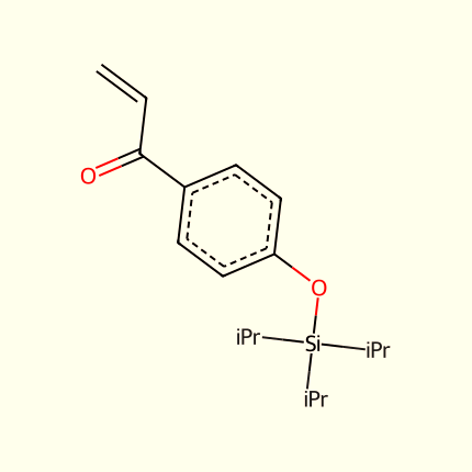 C=CC(=O)c1ccc(O[Si](C(C)C)(C(C)C)C(C)C)cc1